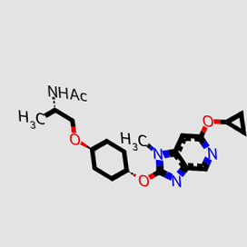 CC(=O)N[C@@H](C)CO[C@H]1CC[C@H](Oc2nc3cnc(OC4CC4)cc3n2C)CC1